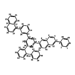 c1ccc(-c2ccc3cc(-c4nc(-c5cccc(-c6cccc7ccccc67)c5)nc(-c5ccccc5-c5ccccc5)n4)ccc3c2)cc1